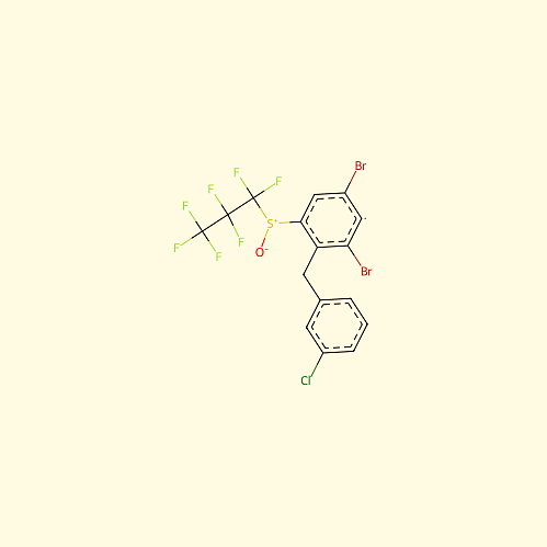 [O-][S+](c1cc(Br)[c]c(Br)c1Cc1cccc(Cl)c1)C(F)(F)C(F)(F)C(F)(F)F